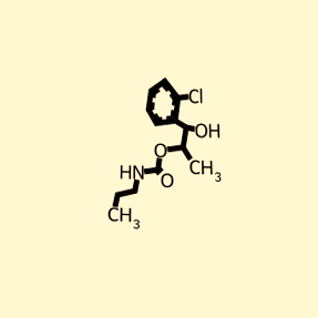 CCCNC(=O)OC(C)C(O)c1ccccc1Cl